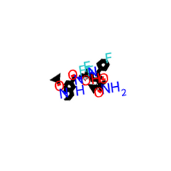 NC(=O)[C@@]1(C2CC2)COc2c1cc([C@@](O)(CNC(=O)c1cc(OC3CC3)c3ncccc3c1)C(F)(F)F)nc2-c1ccc(F)cc1